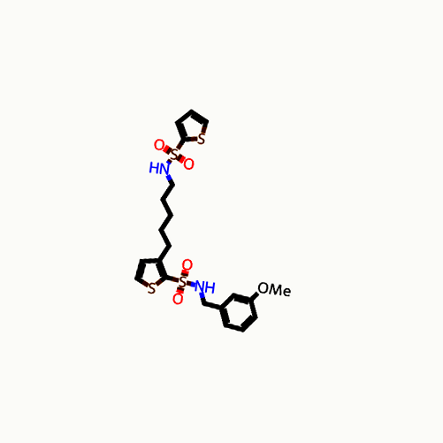 COc1cccc(CNS(=O)(=O)c2sccc2CCCCCNS(=O)(=O)c2cccs2)c1